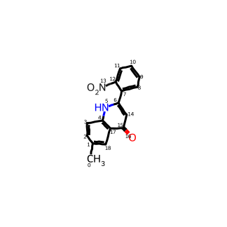 Cc1ccc2[nH]c(-c3ccccc3[N+](=O)[O-])cc(=O)c2c1